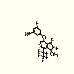 N#Cc1cc(F)cc(Oc2cnc(C(F)(F)C(F)(F)F)c3c2[C@@H](F)[C@@H](F)[C@H]3O)c1